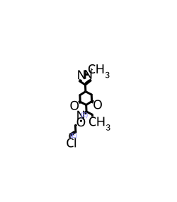 CC/C(=N\OC/C=C/Cl)C1C(=O)CC(c2cnn(C)c2)CC1=O